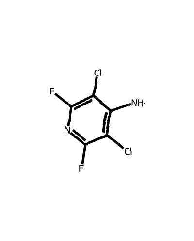 [NH]c1c(Cl)c(F)nc(F)c1Cl